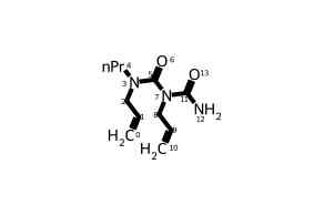 C=CCN(CCC)C(=O)N(CC=C)C(N)=O